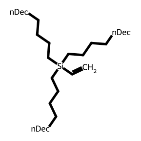 C=C[Si](CCCCCCCCCCCCCC)(CCCCCCCCCCCCCC)CCCCCCCCCCCCCC